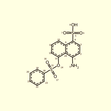 Nc1ccc(S(=O)(=O)O)c2cccc(OS(=O)(=O)c3ccccc3)c12